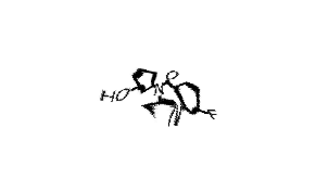 Cc1nc2cc(F)ccc2c(=O)n1-c1cccc(O)c1